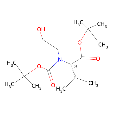 CC(C)[C@@H](C(=O)OC(C)(C)C)N(CCO)C(=O)OC(C)(C)C